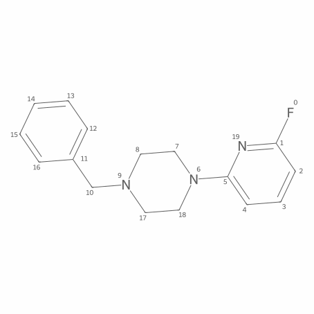 Fc1cccc(N2CCN(Cc3ccccc3)CC2)n1